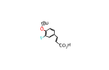 CC(C)(C)Oc1ccc(C=CC(=O)O)cc1F